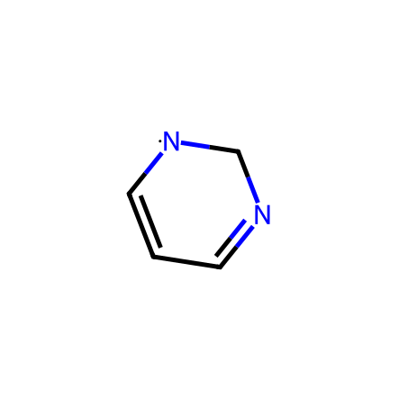 C1=C[N]CN=C1